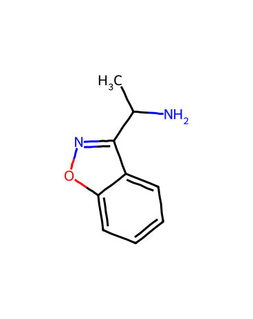 CC(N)c1noc2ccccc12